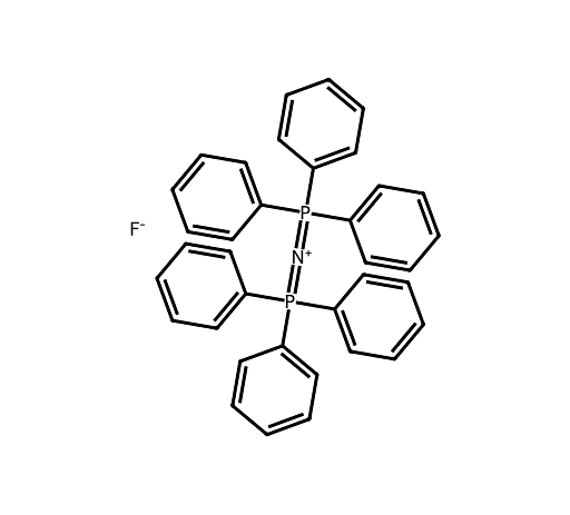 [F-].c1ccc(P(=[N+]=P(c2ccccc2)(c2ccccc2)c2ccccc2)(c2ccccc2)c2ccccc2)cc1